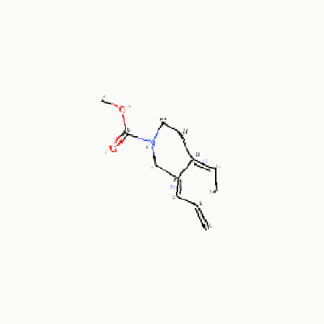 C=C/C=C1/CN(C(=O)OC)CC/C1=C/C